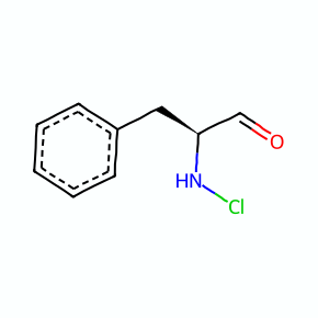 O=C[C@H](Cc1ccccc1)NCl